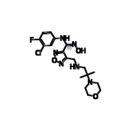 CC(C)(CNCc1nonc1/C(=N\O)Nc1ccc(F)c(Cl)c1)N1CCOCC1